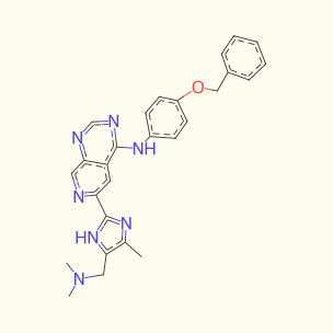 Cc1nc(-c2cc3c(Nc4ccc(OCc5ccccc5)cc4)ncnc3cn2)[nH]c1CN(C)C